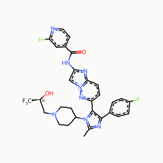 Cc1nc(-c2ccc(F)cc2)c(-c2ccc3nc(NC(=O)c4ccnc(F)c4)cn3n2)n1C1CCN(C[C@H](O)C(F)(F)F)CC1